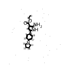 CCOC(=O)c1cc(-c2ccc(N3CCCC3)cc2)[nH]c1N